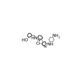 N[C@H]1CC[C@H](Nc2cc(-c3cccc(NCc4cccc(O)c4)n3)c(Cl)cn2)CC1